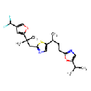 CC(C)c1cnc(CCC(C)c2cnc(CC(C)(C)c3cc(C(F)F)co3)s2)o1